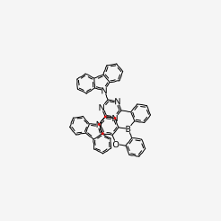 c1ccc2c(c1)Oc1ccccc1B2c1ccccc1-c1nc(-n2c3ccccc3c3ccccc32)nc(-n2c3ccccc3c3ccccc32)n1